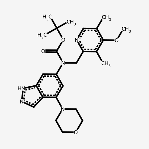 COc1c(C)cnc(CN(C(=O)OC(C)(C)C)c2cc(N3CCOCC3)c3cn[nH]c3c2)c1C